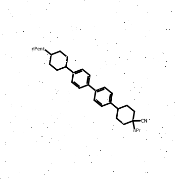 CCCCCC1CCC(c2ccc(-c3ccc(C4CCC(C#N)(CCC)CC4)cc3)cc2)CC1